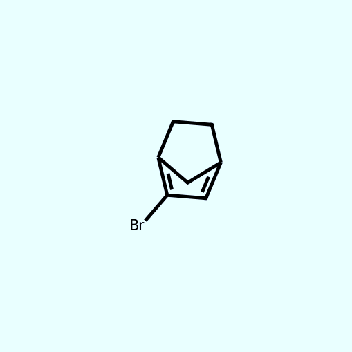 BrC1=C2CCC(=C1)C2